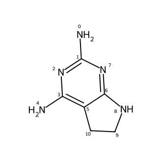 Nc1nc(N)c2c(n1)NCC2